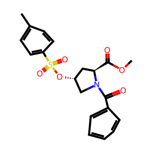 COC(=O)[C@@H]1C[C@@H](OS(=O)(=O)c2ccc(C)cc2)CN1C(=O)c1ccccc1